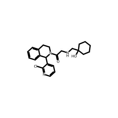 O=C(CNCC1(O)CCCCC1)N1CCc2ccccc2C1c1cccnc1Cl